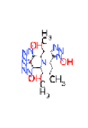 CCCC(c1cnnn1O)N(C(CCC)c1cnnn1O)C(CCC)c1cnnn1O